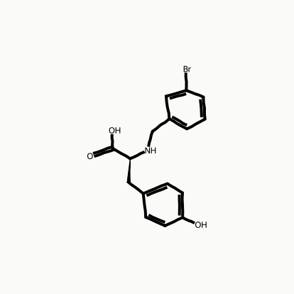 O=C(O)[C@H](Cc1ccc(O)cc1)NCc1cccc(Br)c1